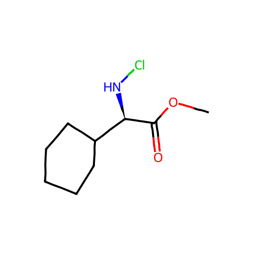 COC(=O)[C@H](NCl)C1CCCCC1